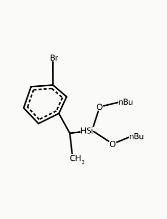 CCCCO[SiH](OCCCC)C(C)c1cccc(Br)c1